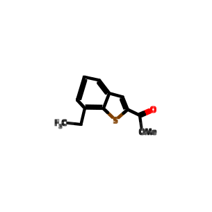 COC(=O)c1cc2cccc(CC(F)(F)F)c2s1